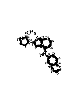 C[C@H]1NCC[C@@H]1c1cc2c(Nc3ccc4scnc4c3)ccnc2s1